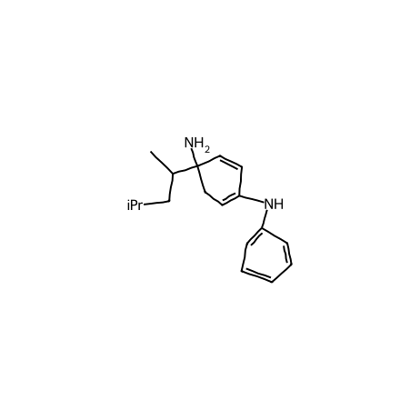 CC(C)CC(C)C1(N)C=CC(Nc2ccccc2)=CC1